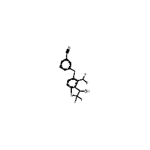 N#Cc1cccc(Cc2ccc3c(c2C(F)F)C(O)C(F)(F)S3)c1